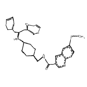 COc1ccc2ncc(C(=O)OCC3CCC(NC(C4=CC=CCC4)C4=COC=CO4)CC3)cc2c1